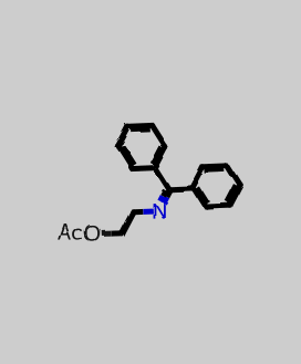 CC(=O)OCCN=C(c1ccccc1)c1ccccc1